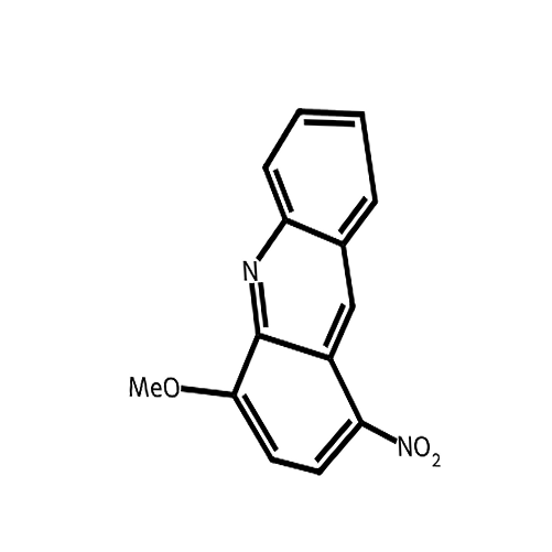 COc1ccc([N+](=O)[O-])c2cc3ccccc3nc12